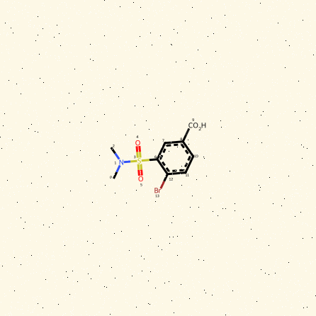 CN(C)S(=O)(=O)c1cc(C(=O)O)ccc1Br